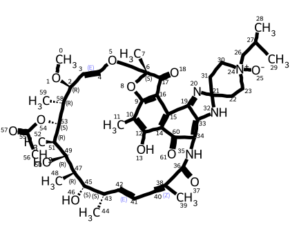 CO[C@H]1/C=C/O[C@@]2(C)Oc3c(C)c(O)c4c(c3C2=O)C2=NC3(CC[N+]([O-])(CC(C)C)CC3)NC2=C(NC(=O)/C(C)=C\C=C\[C@H](C)[C@H](O)[C@@H](C)[C@@H](O)[C@@H](C)[C@H](OC(C)=O)[C@@H]1C)C4=O